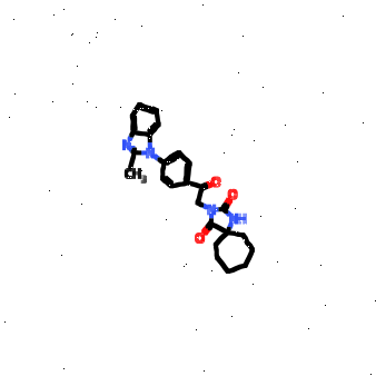 Cc1nc2ccccc2n1-c1ccc(C(=O)CN2C(=O)NC3(CCCCCC3)C2=O)cc1